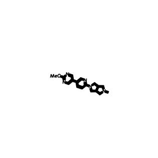 COc1ncc(-c2ccc(N3CC4CN(C)CC4C3)nc2)cn1